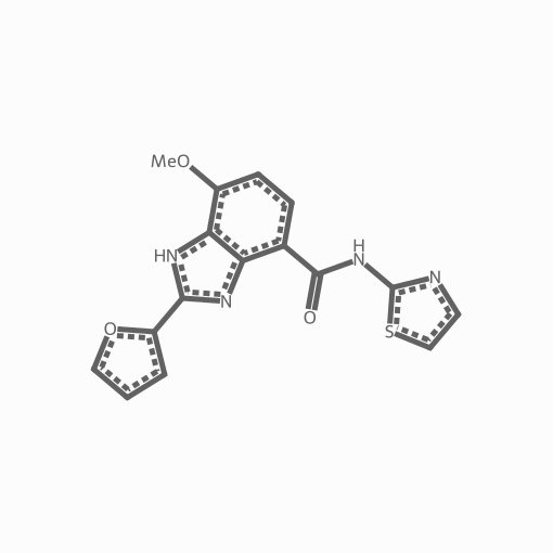 COc1ccc(C(=O)Nc2nccs2)c2nc(-c3ccco3)[nH]c12